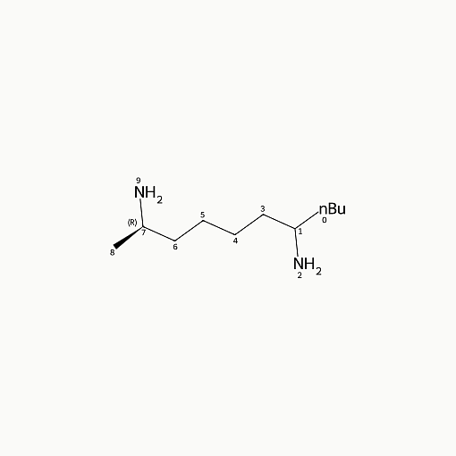 CCCCC(N)CCCC[C@@H](C)N